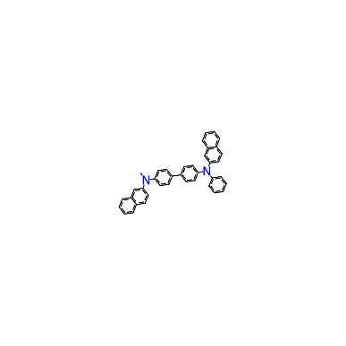 CN(c1ccc(-c2ccc(N(c3ccccc3)c3ccc4ccccc4c3)cc2)cc1)c1ccc2ccccc2c1